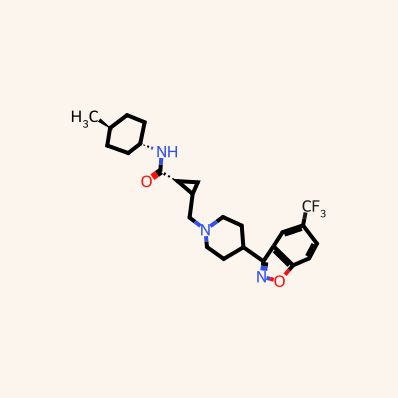 C[C@H]1CC[C@H](NC(=O)[C@@H]2CC2CN2CCC(c3noc4ccc(C(F)(F)F)cc34)CC2)CC1